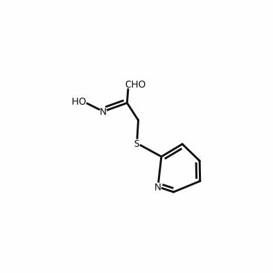 O=CC(CSc1ccccn1)=NO